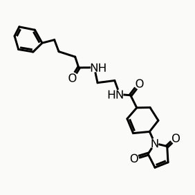 O=C(CCCc1ccccc1)NCCNC(=O)C1C=CC(N2C(=O)C=CC2=O)CC1